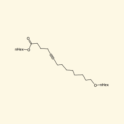 CCCCCCOCCCCCCCCC#CCCCC(=O)OCCCCCC